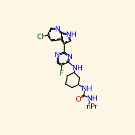 CCCNC(=O)NC1CCCC(Nc2nc(-c3c[nH]c4ncc(Cl)cc34)ncc2F)C1